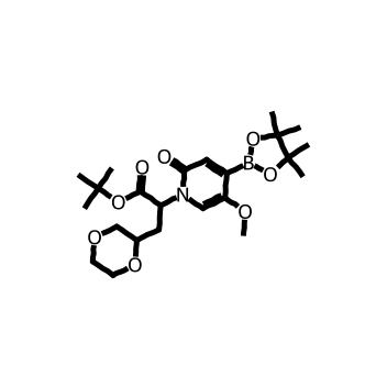 COc1cn(C(CC2COCCO2)C(=O)OC(C)(C)C)c(=O)cc1B1OC(C)(C)C(C)(C)O1